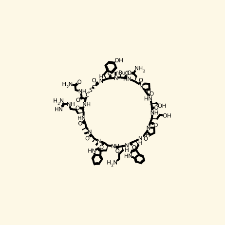 CCCC[C@H]1C(=O)N[C@@H](CC(N)=O)C(=O)N2CCC[C@H]2C(=O)N[C@@H](CO)C(=O)N[C@@H](CCO)C(=O)N2CCC[C@H]2C(=O)N[C@@H](Cc2c[nH]c3ccccc23)C(=O)N[C@@H](CCCN)C(=O)N[C@@H](Cc2c[nH]c3ccccc23)C(=O)N(C)[C@@H](C)C(=O)N(C)[C@@H](C)C(=O)N[C@@H](CCCNC(=N)N)C(=O)NC(C(=O)NCC(N)=O)CSCC(=O)N[C@@H](Cc2ccc(O)cc2)C(=O)N1C